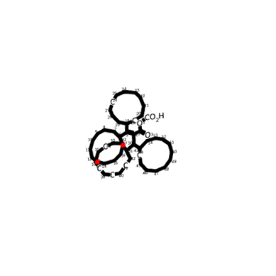 O=C(O)OC(=O)C(=C(C1CCCCCCCCCCC1)C1CCCCCCCCCCC1)C(C1CCCCCCCCCCC1)C1CCCCCCCCCCC1